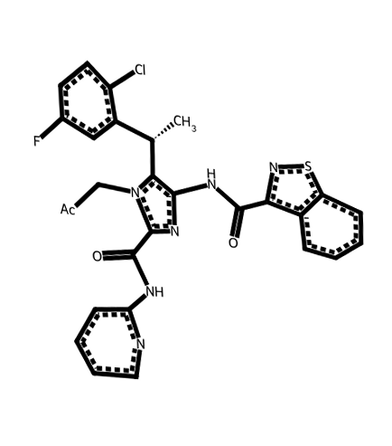 CC(=O)Cn1c(C(=O)Nc2ccccn2)nc(NC(=O)c2nsc3ccccc23)c1[C@@H](C)c1cc(F)ccc1Cl